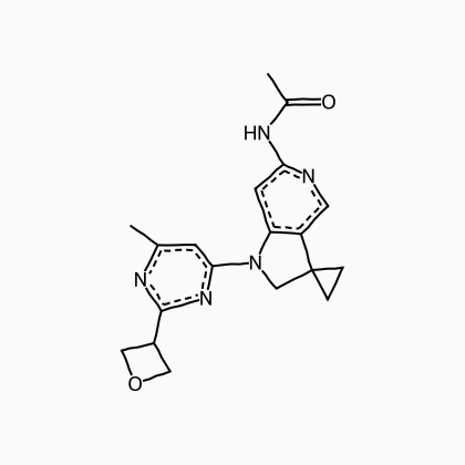 CC(=O)Nc1cc2c(cn1)C1(CC1)CN2c1cc(C)nc(C2COC2)n1